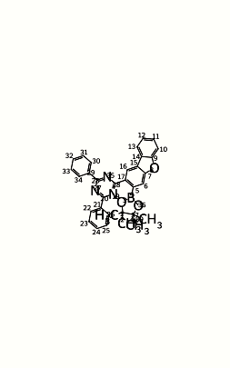 CC1(C)OB(c2cc3oc4ccccc4c3cc2-c2nc(-c3ccccc3)nc(-c3ccccc3)n2)OC1(C)C